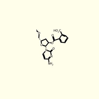 Nc1ccn([C@@H]2O[C@H](COI)C[C@H]2OC(=O)c2ccccc2C(=O)O)c(=O)n1